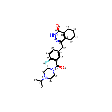 CC(C)N1CCN(C(=O)c2cc(Cc3n[nH]c(=O)c4c3CCCC4)ccc2F)CC1